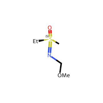 CC[S@](C)(=O)=NCOC